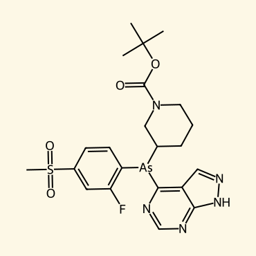 CC(C)(C)OC(=O)N1CCCC([As](c2ccc(S(C)(=O)=O)cc2F)c2ncnc3[nH]ncc23)C1